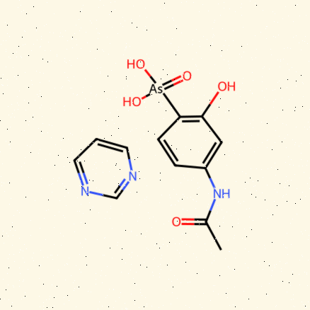 CC(=O)Nc1ccc([As](=O)(O)O)c(O)c1.c1cncnc1